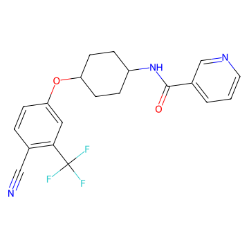 N#Cc1ccc(OC2CCC(NC(=O)c3cccnc3)CC2)cc1C(F)(F)F